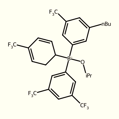 CCCCc1cc([B-](OC(C)C)(c2cc(C(F)(F)F)cc(C(F)(F)F)c2)C2C=CC(C(F)(F)F)=CC2)cc(C(F)(F)F)c1